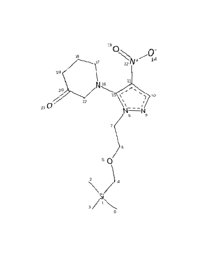 C[Si](C)(C)COCCn1ncc([N+](=O)[O-])c1N1CCCC(=O)C1